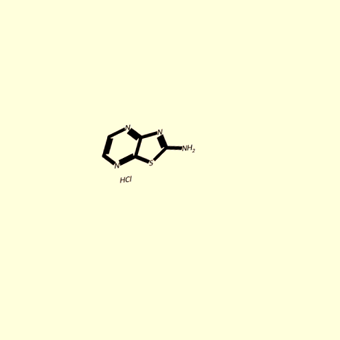 Cl.Nc1nc2nccnc2s1